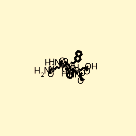 NC(=O)NCCC[C@H](NC(=O)[C@H](CCc1ccc2ccccc2c1)NC(=O)[C@@H]1CCCCN1C(=O)[C@H](CCCC(=O)O)NC(=O)C1CO1)C(N)=O